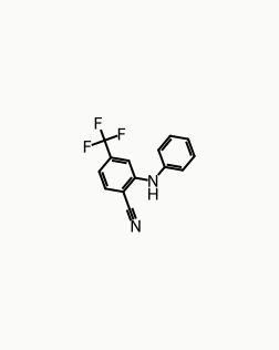 N#Cc1ccc(C(F)(F)F)cc1Nc1ccccc1